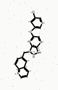 Clc1cncc(Oc2cnc3c(n2)N(Cc2ccc4ncccc4c2)NN3)c1